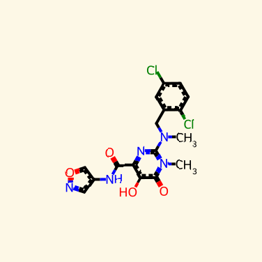 CN(Cc1cc(Cl)ccc1Cl)c1nc(C(=O)Nc2cnoc2)c(O)c(=O)n1C